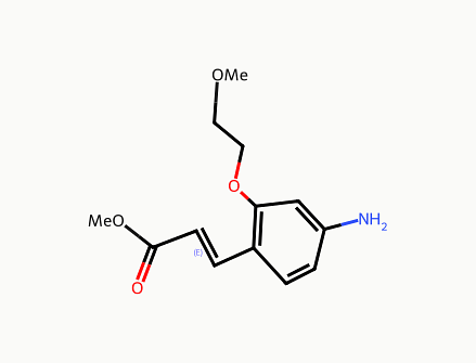 COCCOc1cc(N)ccc1/C=C/C(=O)OC